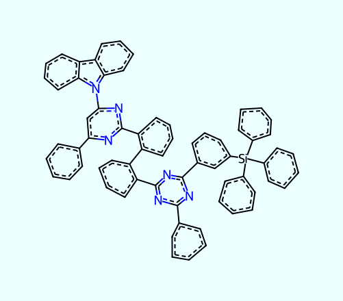 c1ccc(-c2cc(-n3c4ccccc4c4ccccc43)nc(-c3ccccc3-c3ccccc3-c3nc(-c4ccccc4)nc(-c4cccc([Si](c5ccccc5)(c5ccccc5)c5ccccc5)c4)n3)n2)cc1